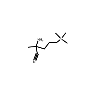 CC(N)(C#N)CCCS(C)(C)C